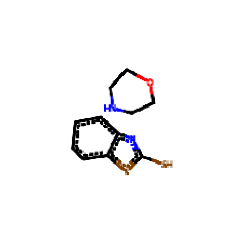 C1COCCN1.Sc1nc2ccccc2s1